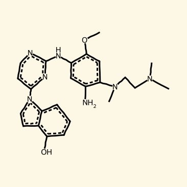 COc1cc(N(C)CCN(C)C)c(N)cc1Nc1nccc(-n2ccc3c(O)cccc32)n1